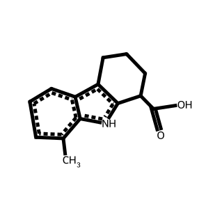 Cc1cccc2c3c([nH]c12)C(C(=O)O)CCC3